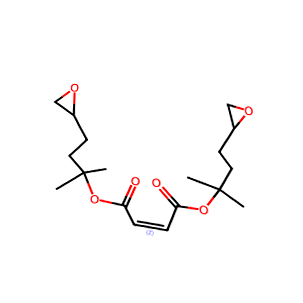 CC(C)(CCC1CO1)OC(=O)/C=C\C(=O)OC(C)(C)CCC1CO1